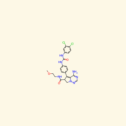 COCCNC(=O)C1CN2N=CN=C(N)C2=C1c1ccc(NC(=O)Nc2ccc(Cl)c(Cl)c2)cc1